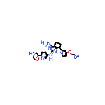 CN(C)CCOc1ccnc(-c2cccc3c(N)nc(Nc4ccc(C5CNCCO5)nc4)nc23)c1